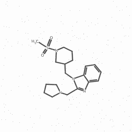 CS(=O)(=O)N1CCCC(Cn2c(CN3CCCC3)nc3ccccc32)C1